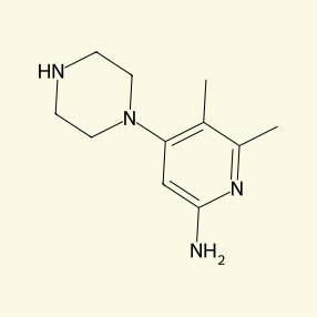 Cc1nc(N)cc(N2CCNCC2)c1C